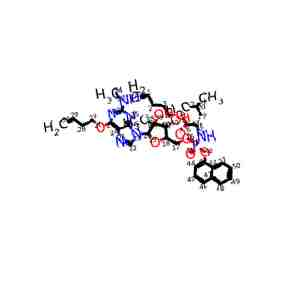 C=CCCCOC(=O)[C@H](CC(C)C)NP(=O)(OCC1OC(n2cnc3c(OCCC=C)nc(NC)nc32)[C@](C)(O)[C@@H]1O)Oc1cccc2ccccc12